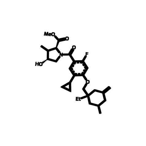 C=C1CC(C)CC(CC)(COc2cc(F)c(C(=O)N3C[C@H](O)C(C)[C@H]3C(=O)OC)cc2C2CC2)C1